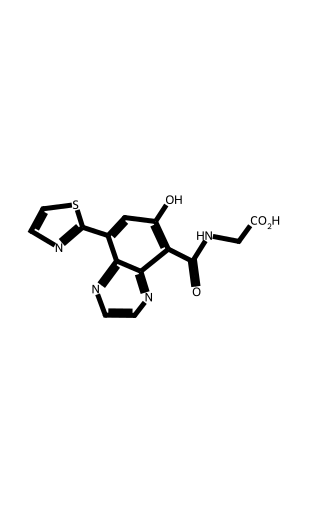 O=C(O)CNC(=O)c1c(O)cc(-c2nccs2)c2nccnc12